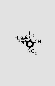 Cc1cc([N+](=O)[O-])cc(S(C)(=O)=O)c1C